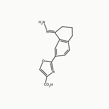 N/N=C1\CCCc2ccc(-c3nc(C(=O)O)co3)cc21